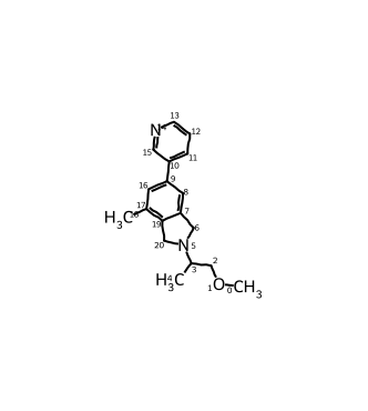 COCC(C)N1Cc2cc(-c3cccnc3)cc(C)c2C1